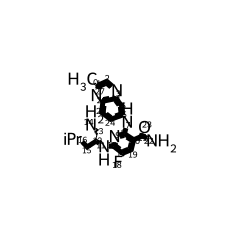 Cc1cnc2cc(Nc3nc(N[C@@H](CN)CC(C)C)c(F)cc3C(N)=O)ccc2n1